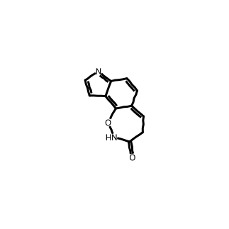 O=C1CC=c2ccc3c(c2ON1)C=CN=3